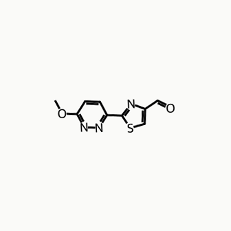 COc1ccc(-c2nc(C=O)cs2)nn1